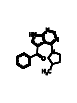 CC1CCN(c2ncnc3[nH]cc(C(=O)c4ccccc4)c23)C1